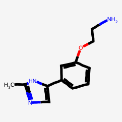 Cc1ncc(-c2c[c]cc(OCCN)c2)[nH]1